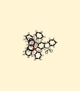 O=S1(=O)c2ccccc2-c2cc([Si](c3ccccc3)(c3ccccc3)c3ccccc3)c([Si](c3ccccc3)(c3ccccc3)c3ccccc3)cc21